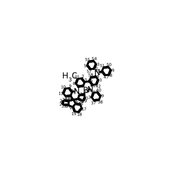 Cc1cc2c3c(c1)N1c4ccccc4C4(c5ccccc5-c5ccccc54)c4cccc(c41)B3N(c1ccccc1)c1ccc(N(c3ccccc3)c3ccccc3)cc1-2